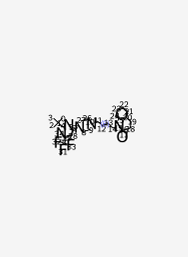 CC(C)(C)c1nc(N2CCN(C/C=C/CN3C(=O)CCc4ccccc43)CC2)cc(C(F)(F)F)n1